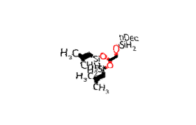 CCCCCCCCCC[SiH2]OCC(O[SiH2]C=C(C)C)O[SiH2]C=C(C)C